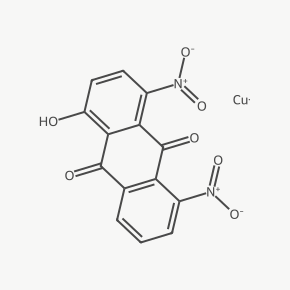 O=C1c2cccc([N+](=O)[O-])c2C(=O)c2c([N+](=O)[O-])ccc(O)c21.[Cu]